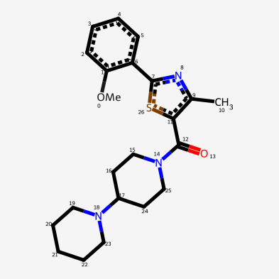 COc1ccccc1-c1nc(C)c(C(=O)N2CCC(N3CCCCC3)CC2)s1